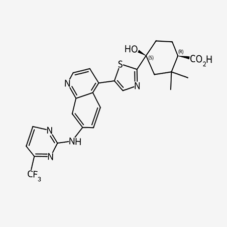 CC1(C)C[C@](O)(c2ncc(-c3ccnc4cc(Nc5nccc(C(F)(F)F)n5)ccc34)s2)CC[C@H]1C(=O)O